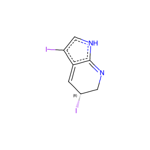 Ic1c[nH]c2c1=C[C@@H](I)CN=2